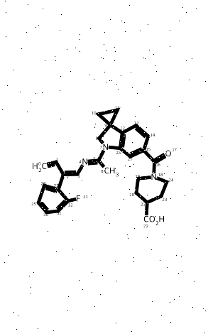 C=C/C(=C\N=C(/C)N1CC2(CC2)c2ccc(C(=O)N3CCC(C(=O)O)CC3)cc21)c1ccccc1F